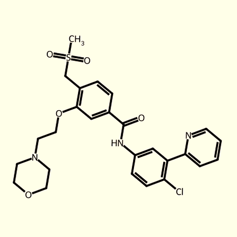 CS(=O)(=O)Cc1ccc(C(=O)Nc2ccc(Cl)c(-c3ccccn3)c2)cc1OCCN1CCOCC1